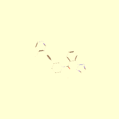 C[C@@H]1CC[C@@H](C#Cc2cnccc2O)CN1C(=O)c1ccccc1-n1nccn1